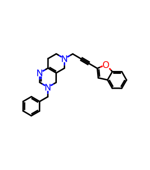 C(#Cc1cc2ccccc2o1)CN1CCC2=C(CN(Cc3ccccc3)C=N2)C1